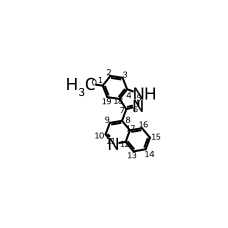 Cc1ccc2[nH]nc(-c3ccnc4ccccc34)c2c1